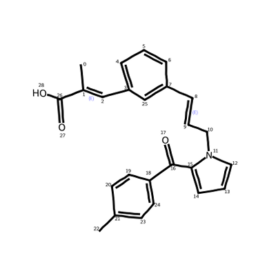 C/C(=C\c1cccc(/C=C/Cn2cccc2C(=O)c2ccc(C)cc2)c1)C(=O)O